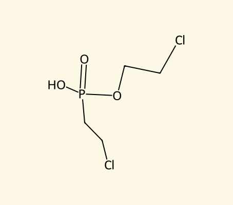 O=P(O)(CCCl)OCCCl